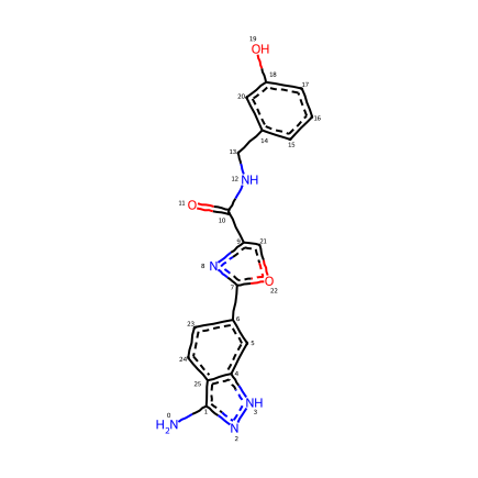 Nc1n[nH]c2cc(-c3nc(C(=O)NCc4cccc(O)c4)co3)ccc12